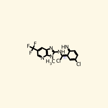 Cn1c(N/C(Cl)=C2/C=C(Cl)C=CC2=N)nc2cc(C(F)(F)F)cnc21